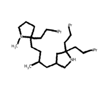 CC(C)CCC1(CCC(C)C)CC(CC(C)CCC2(CCC(C)C)CCCN2C)CN1